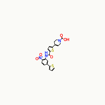 O=C(Nc1cc(-c2cccs2)ccc1[N+](=O)[O-])c1ccc(C2=CCN(C(=O)O)CC2)s1